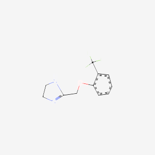 FC(F)(F)c1ccccc1OCC1=NCCN1